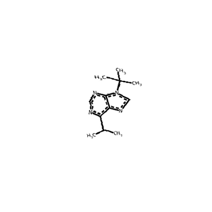 CC(C)c1ncnc2c1ncn2C(C)(C)C